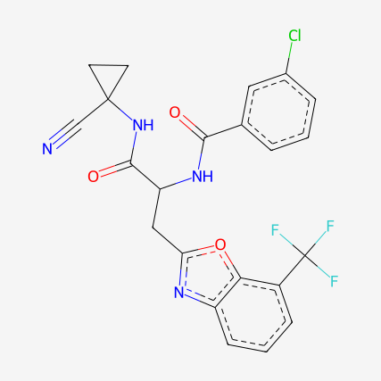 N#CC1(NC(=O)C(Cc2nc3cccc(C(F)(F)F)c3o2)NC(=O)c2cccc(Cl)c2)CC1